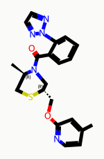 Cc1ccnc(OC[C@H]2CN(C(=O)c3ccccc3-n3nccn3)[C@H](C)CS2)c1